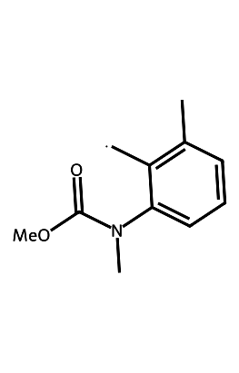 [CH2]c1c(C)cccc1N(C)C(=O)OC